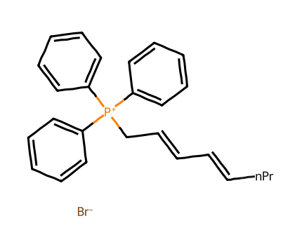 CCC/C=C/C=C/C[P+](c1ccccc1)(c1ccccc1)c1ccccc1.[Br-]